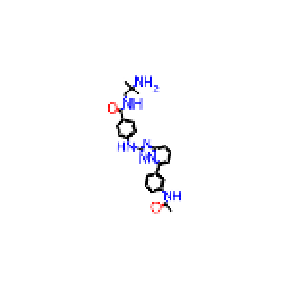 CC(=O)Nc1cccc(-c2cccc3nc(Nc4ccc(C(=O)NCC(C)(C)N)cc4)nn23)c1